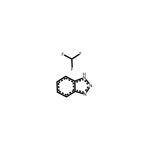 FC(F)F.c1ccc2[nH]nnc2c1